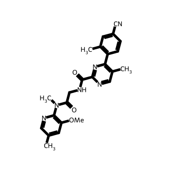 COc1cc(C)cnc1N(C)C(=O)CNC(=O)c1ncc(C)c(-c2ccc(C#N)cc2C)n1